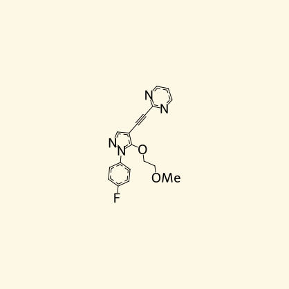 COCCOc1c(C#Cc2ncccn2)cnn1-c1ccc(F)cc1